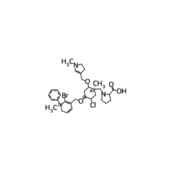 CN1C=C(COC2C[C@H](OCC3=C(Br)[C@](C)(c4ccccc4)CC=C3)C(Cl)C[C@]2(C)CN2CCCC2C(=O)O)CC1